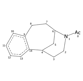 CC(=O)N1CCC2CC1CCc1ccccc12